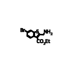 CCOC(=O)c1c(CN)sc2cc(Br)ccc12